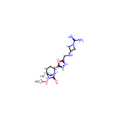 N=C(N)N1CC(NCc2nnc([C@@H]3CC[C@H]4CN3C(=O)N4OS(=O)(=O)O)o2)C1